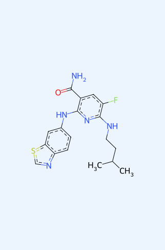 CC(C)CCNc1nc(Nc2ccc3ncsc3c2)c(C(N)=O)cc1F